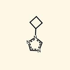 c1ncn(C2CCC2)n1